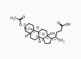 CC(=O)O[C@@H]1CC[C@@]2(C)[C@H](CC[C@@H]3[C@@H]2CC[C@]2(C)[C@@H]([C@H](C)CCC(=O)O)CC[C@@H]32)C1